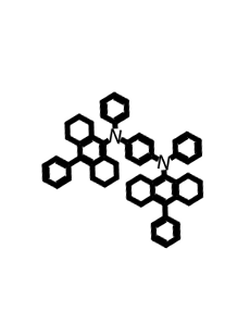 c1ccc(-c2c3c(c(N(c4ccccc4)c4ccc(N(c5ccccc5)c5c6c(c(-c7ccccc7)c7c5CCCC7)CCCC6)cc4)c4c2CCCC4)CCCC3)cc1